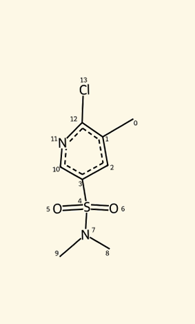 Cc1cc(S(=O)(=O)N(C)C)cnc1Cl